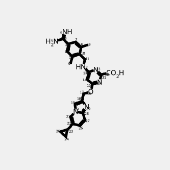 Cc1cc(C(=N)N)cc(C)c1CNc1cc(OCc2cn3cc(C4CC4)ccc3n2)nc(C(=O)O)n1